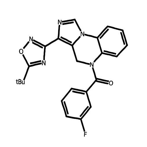 CC(C)(C)c1nc(-c2ncn3c2CN(C(=O)c2cccc(F)c2)c2ccccc2-3)no1